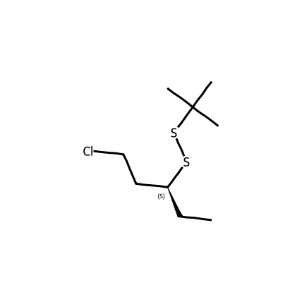 CC[C@@H](CCCl)SSC(C)(C)C